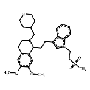 COc1cc2c(cc1OC)C(CCc1cn(CCS(C)(=O)=O)c3ccccc13)N(CC1CCOCC1)CC2